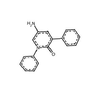 Nc1cc(-c2ccccc2)c(=O)n(-c2ccccc2)c1